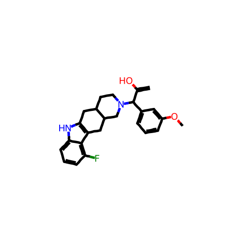 C=C(O)C(c1cccc(OC)c1)N1CCC2Cc3[nH]c4cccc(F)c4c3CC2C1